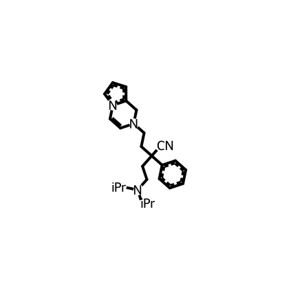 CC(C)N(CCC(C#N)(CCN1C=Cn2cccc2C1)c1ccccc1)C(C)C